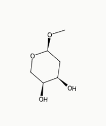 CO[C@H]1C[C@@H](O)[C@@H](O)CO1